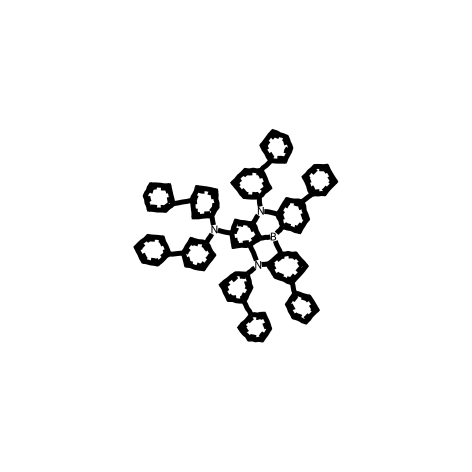 c1ccc(-c2cccc(N(c3cccc(-c4ccccc4)c3)c3cc4c5c(c3)N(c3cccc(-c6ccccc6)c3)c3cc(-c6ccccc6)ccc3B5c3ccc(-c5ccccc5)cc3N4c3cccc(-c4ccccc4)c3)c2)cc1